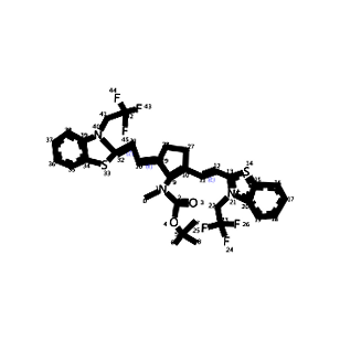 CN(C(=O)OC(C)(C)C)C1=C(/C=C/c2sc3ccccc3[n+]2CC(F)(F)F)CC/C1=C\C=C1/Sc2ccccc2N1CC(F)(F)F